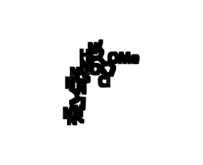 COc1ccc(Cl)cc1-c1cc(C)ncc1C(=O)Nc1nc2ncc(-c3ccn4c(C)nnc4c3)nc2s1